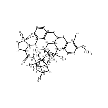 COc1ccc(Cl)c(CN(Cc2cccc(CN3C(C(=O)N[C@H]4C[C@H]5C[C@@H]([C@@H]4C)C5(C)C)CCS3(=O)=O)c2)[C@H](CN(C)C)CC(C)(C)C)c1F